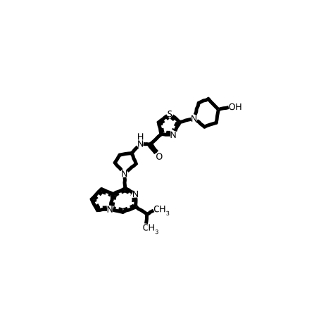 CC(C)c1cn2cccc2c(N2CCC(NC(=O)c3csc(N4CCC(O)CC4)n3)C2)n1